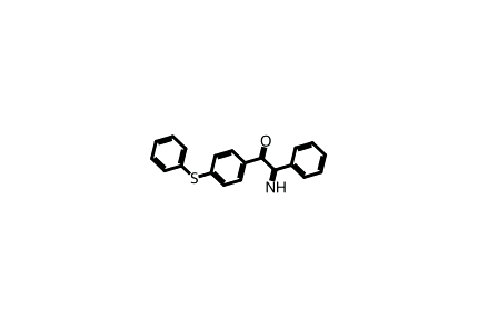 N=C(C(=O)c1ccc(Sc2ccccc2)cc1)c1ccccc1